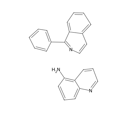 Nc1cccc2ncccc12.c1ccc(-c2nccc3ccccc23)cc1